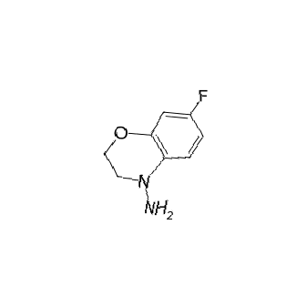 NN1CCOc2cc(F)ccc21